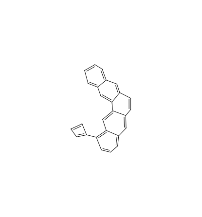 C1=CC(c2cccc3cc4ccc5cc6ccccc6cc5c4cc23)=C1